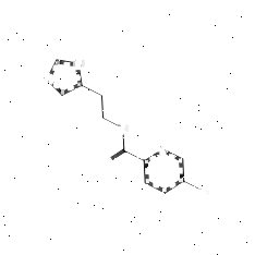 O=C(NCCc1cnc[nH]1)c1ccc(Br)cn1